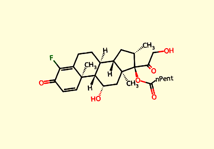 CCCCCC(=O)O[C@]1(C(=O)CO)[C@@H](C)C[C@H]2[C@@H]3CCC4=C(F)C(=O)C=C[C@]4(C)[C@H]3[C@@H](O)C[C@@]21C